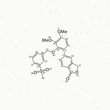 COc1ccc(-c2ccc3c(c2)COC3=O)c(OCc2cccc(S(C)(=O)=O)c2)c1OC